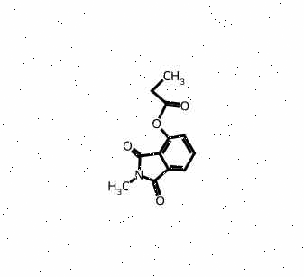 CCC(=O)Oc1cccc2c1C(=O)N(C)C2=O